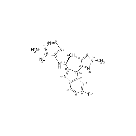 C[C@H](Nc1ncnc(N)c1C#N)c1nc2ccc(F)cc2n1-c1ccn(C)n1